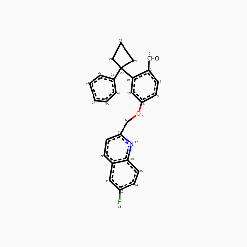 O=Cc1ccc(OCc2ccc3cc(F)ccc3n2)cc1C1(c2ccccc2)CCC1